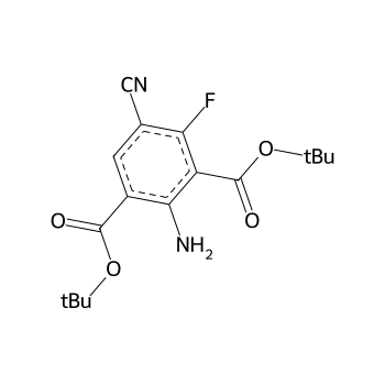 CC(C)(C)OC(=O)c1cc(C#N)c(F)c(C(=O)OC(C)(C)C)c1N